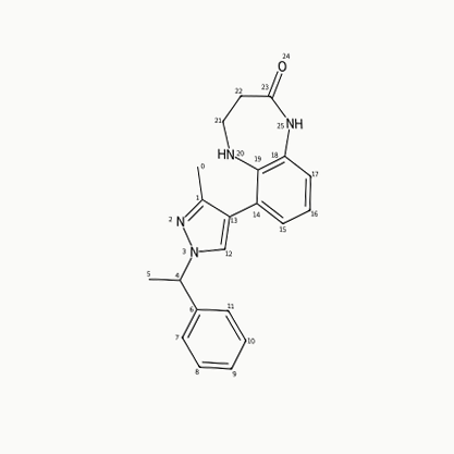 Cc1nn(C(C)c2ccccc2)cc1-c1cccc2c1NCCC(=O)N2